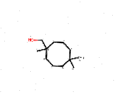 CC1(CO)CCCC(C)(C(C)(C)C)CCC1